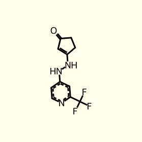 O=C1C=C(NNc2ccnc(C(F)(F)F)c2)CC1